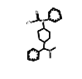 CCCC(=O)N(c1ccccc1)C1CCC(C(c2ccccc2)N(C)C)CC1